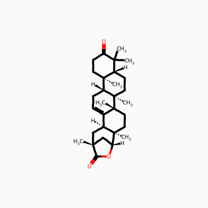 CC1(C)C(=O)CC[C@]2(C)[C@H]3CC=C4[C@@H]5C[C@]6(C)C[C@@H](OC6=O)[C@]5(C)CC[C@@]4(C)[C@]3(C)CC[C@@H]12